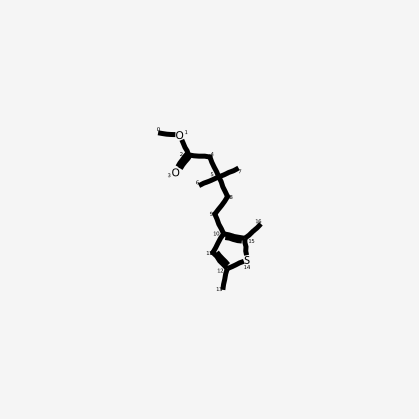 COC(=O)CC(C)(C)CCc1cc(C)sc1C